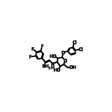 N/C(=C\NC1C(O)C(CO)OC(Oc2ccc(Cl)c(Cl)c2)C1O)c1cc(F)c(F)c(F)c1